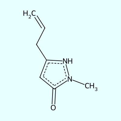 C=CCc1cc(=O)n(C)[nH]1